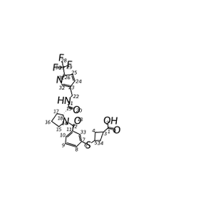 O=C(O)C1CC(Sc2cccc(C(=O)N3CCC[C@@H]3C(=O)NCc3ccc(C(F)(F)F)nc3)c2)C1